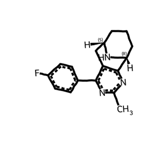 Cc1nc(-c2ccc(F)cc2)c2c(n1)[C@H]1CCC[C@@H](C2)N1